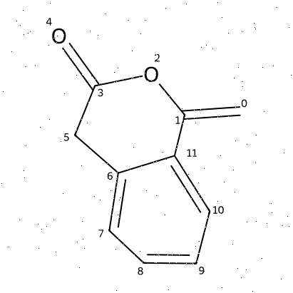 C=C1OC(=O)Cc2ccccc21